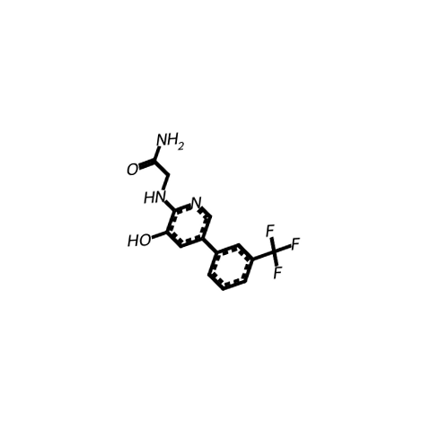 NC(=O)CNc1ncc(-c2cccc(C(F)(F)F)c2)cc1O